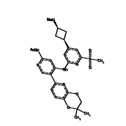 CO[C@H]1C[C@@H](c2cc(Nc3cc(NC(C)=O)ncc3-c3ccc4c(n3)OCC(C)(C)O4)nc(S(C)(=O)=O)c2)C1